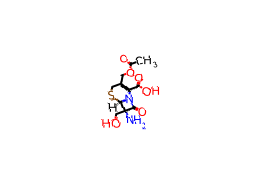 CC(=O)OCC1=C(C(=O)O)N2C(=O)[C@](N)(CO)[C@H]2SC1